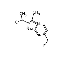 Cc1c(C(C)C)nc2cc(CF)ccn12